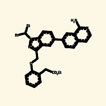 CCOC(=O)Cc1ccccc1OCc1nn(C(CC)CC)c2ccc(-c3ccc4ccnc(N)c4c3)cc12